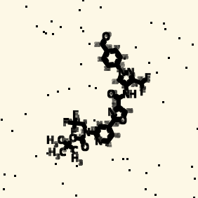 CC(C)(C)OC(=O)N(CC(F)(F)F)c1cc(-c2nc(C(=O)Nc3cn(-c4ccc(C=O)cc4)nc3C(F)F)co2)ccn1